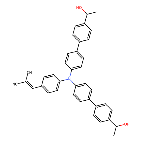 CC(O)c1ccc(-c2ccc(N(c3ccc(C=C(C#N)C#N)cc3)c3ccc(-c4ccc(C(C)O)cc4)cc3)cc2)cc1